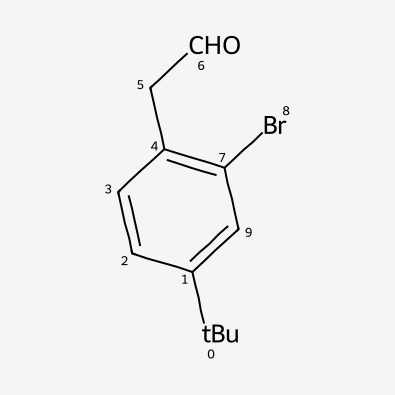 CC(C)(C)c1ccc(CC=O)c(Br)c1